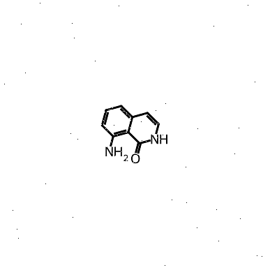 Nc1cccc2cc[nH]c(=O)c12